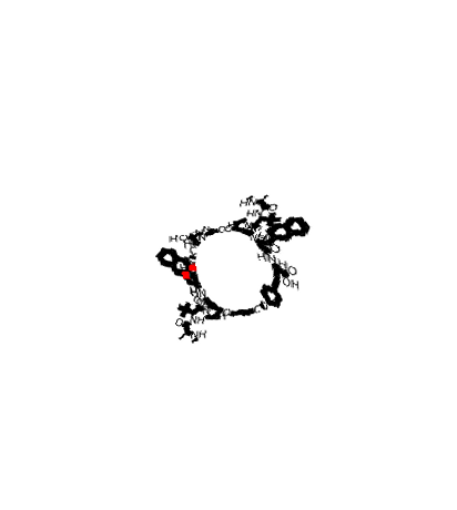 CN[C@@H](C)C(=O)N[C@H](C(=O)N1CC[C@H]2OC/C=C/COc3ccc(cc3)C[C@@H](C(=O)O)NC(=O)[C@H](Cc3ccc4ccccc4c3)NC(=O)[C@@H]3[C@@H](CCN3C(=O)[C@@H](NC(=O)[C@H](C)NC)C(C)(C)C)OCc3cn(nn3)[C@H](C(=O)O)CCNC(=O)[C@H](Cc3ccc4ccccc4c3)NC(=O)[C@H]21)C(C)(C)C